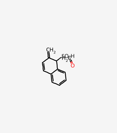 C=C1C=Cc2ccccc2C1S(=O)(=O)O.C=O